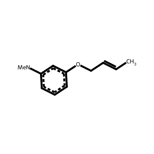 CC=CCOc1cccc(NC)c1